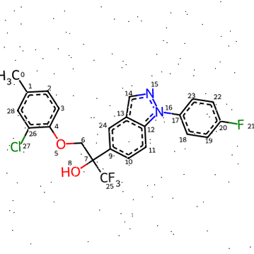 Cc1ccc(OCC(O)(c2ccc3c(cnn3-c3ccc(F)cc3)c2)C(F)(F)F)c(Cl)c1